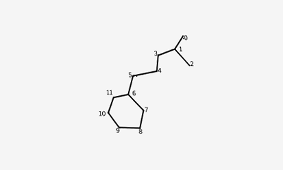 [CH2]C(C)CC[CH]C1CCCCC1